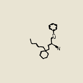 CCCCCC1(CCC(C#N)COc2ccccc2)CCCCC1